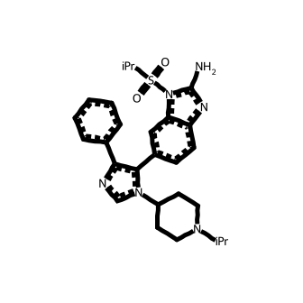 CC(C)N1CCC(n2cnc(-c3ccccc3)c2-c2ccc3nc(N)n(S(=O)(=O)C(C)C)c3c2)CC1